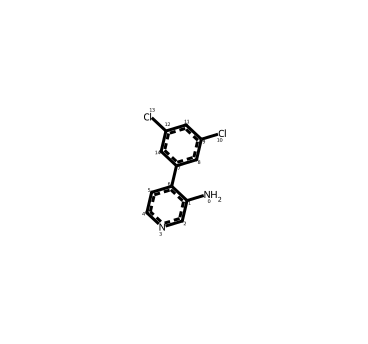 Nc1cnccc1-c1cc(Cl)cc(Cl)c1